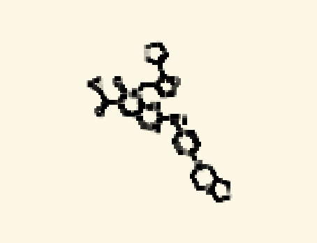 O=C(c1cc2cnc(Nc3ccc(N4CCN5CCCC5C4)cc3)nc2n(Cc2ccoc2C2=CCCC2)c1=O)C1CC1